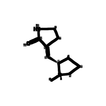 CN1CCC[C@H]1/C=C1\CCNC1=O